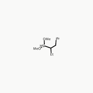 CCC(CC(C)C)[SiH](OC)OC